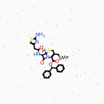 CSCC1=C(C(=O)OC(c2ccccc2)c2ccccc2)N2C(=O)C(NC(=O)Cc3csc(N)n3)[C@@H]2SC1